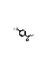 [CH2]CN(C(C)=O)c1ccc(O)cc1